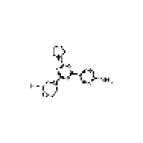 CC[C@H]1CN(c2cc(-c3cnc(N)nc3)nc(N3CCCC3)n2)CCO1